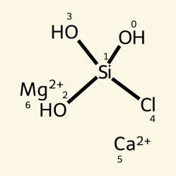 O[Si](O)(O)Cl.[Ca+2].[Mg+2]